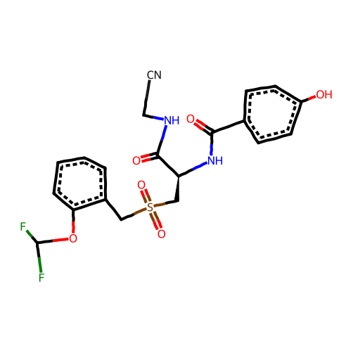 N#CCNC(=O)[C@H](CS(=O)(=O)Cc1ccccc1OC(F)F)NC(=O)c1ccc(O)cc1